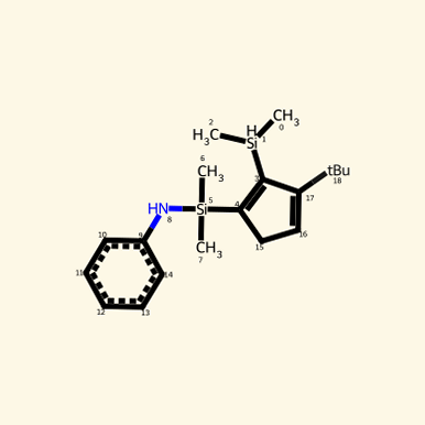 C[SiH](C)C1=C([Si](C)(C)Nc2ccccc2)CC=C1C(C)(C)C